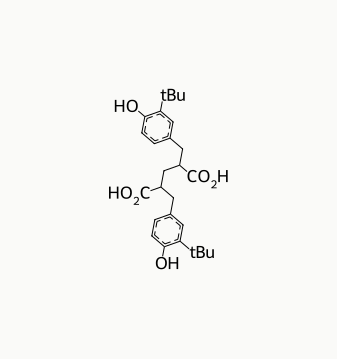 CC(C)(C)c1cc(CC(CC(Cc2ccc(O)c(C(C)(C)C)c2)C(=O)O)C(=O)O)ccc1O